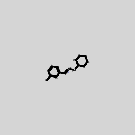 Cc1cccc(/[C]=N/OC2CCCCC2)c1